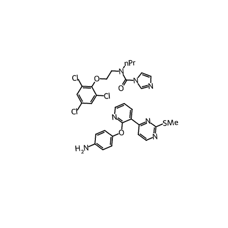 CCCN(CCOc1c(Cl)cc(Cl)cc1Cl)C(=O)n1ccnc1.CSc1nccc(-c2cccnc2Oc2ccc(N)cc2)n1